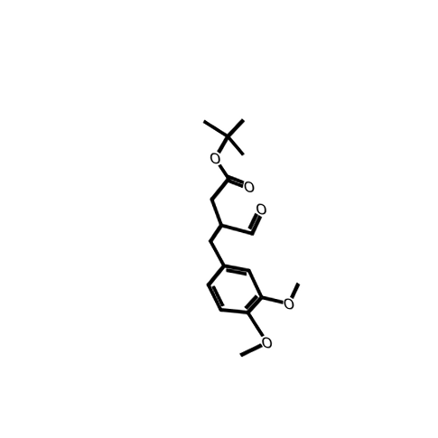 COc1ccc(CC(C=O)CC(=O)OC(C)(C)C)cc1OC